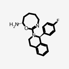 N[C@@H]1CCCC/N=C(/N2CCc3ccccc3[C@@H]2c2ccc(F)cc2)O1